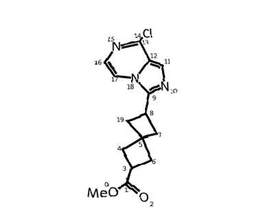 COC(=O)C1CC2(C1)CC(c1ncc3c(Cl)nccn13)C2